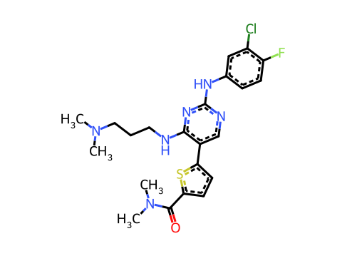 CN(C)CCCNc1nc(Nc2ccc(F)c(Cl)c2)ncc1-c1ccc(C(=O)N(C)C)s1